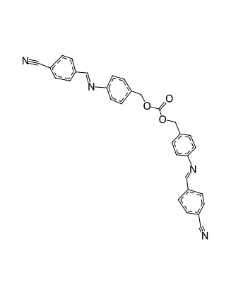 N#Cc1ccc(C=Nc2ccc(COC(=O)OCc3ccc(N=Cc4ccc(C#N)cc4)cc3)cc2)cc1